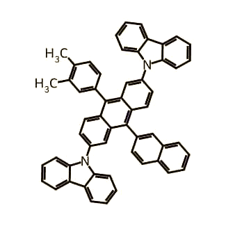 Cc1ccc(-c2c3ccc(-n4c5ccccc5c5ccccc54)cc3c(-c3ccc4ccccc4c3)c3ccc(-n4c5ccccc5c5ccccc54)cc23)cc1C